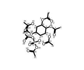 CC(=O)OC1C(OC(C)=O)[C@H](OC(C)=O)[C@H](OP(=O)(OC(C)=O)OC(C)=O)C(OC(C)=O)[C@@H]1OC(C)=O